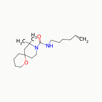 C=CCCCCNC(=O)N1CCC2(CCCCO2)CC1(C)C